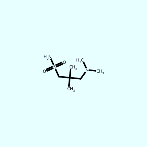 CN(C)CC(C)(C)CS(N)(=O)=O